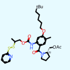 CC(=O)OC[C@@H]1CCCN1C(=O)c1cc(C)c(OCCCCCC(C)(C)C)cc1NC(=O)OCC(C)SSc1ccccn1